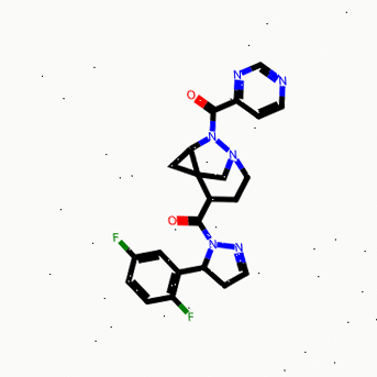 O=C(C1CCN2CC13CC3N2C(=O)c1ccncn1)N1N=CCC1c1cc(F)ccc1F